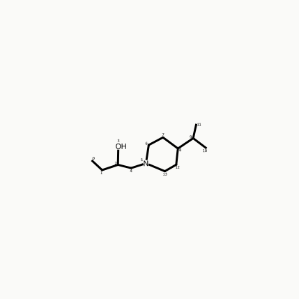 CCC(O)CN1CCC(C(C)C)CC1